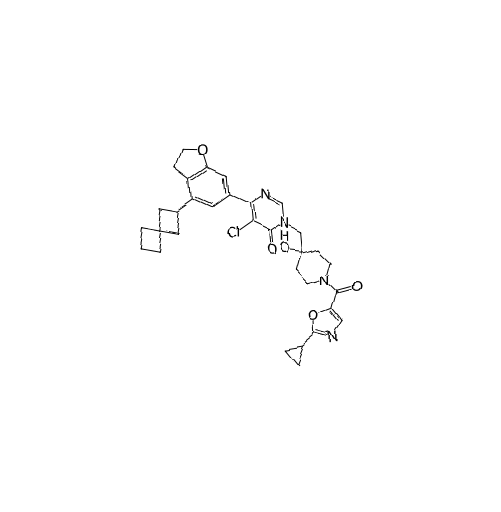 O=C(c1cnc(C2CC2)o1)N1CCC(O)(Cn2cnc(-c3cc4c(c(C5CC6(CCC6)C5)c3)CCO4)c(Cl)c2=O)CC1